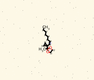 CCCCCC/C=C\C1(C2(C)OCCO2)CC1